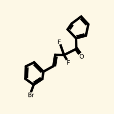 O=C(c1ccccc1)C(F)(F)/C=C/c1cccc(Br)c1